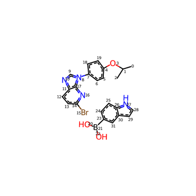 CC(C)Oc1ccc(-n2cnc3ccc(Br)nc32)cc1.OB(O)c1ccc2[nH]ccc2c1